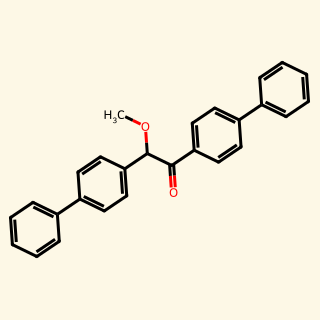 COC(C(=O)c1ccc(-c2ccccc2)cc1)c1ccc(-c2ccccc2)cc1